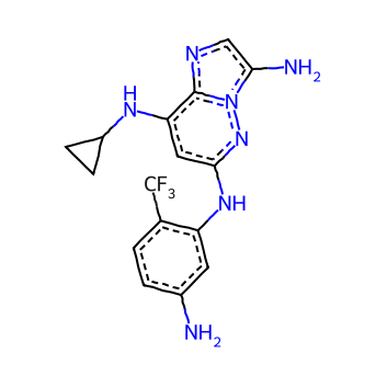 Nc1ccc(C(F)(F)F)c(Nc2cc(NC3CC3)c3ncc(N)n3n2)c1